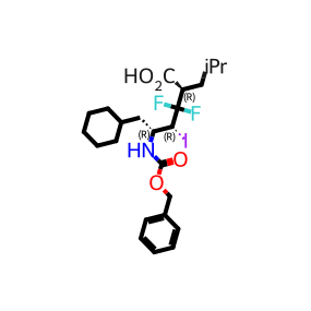 CC(C)C[C@H](C(=O)O)C(F)(F)[C@H](I)[C@@H](CC1CCCCC1)NC(=O)OCc1ccccc1